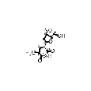 Cc1cn([C@H]2C[C@H]([N+](=O)[O-])[C@@H](CO)O2)c(=O)[nH]c1=O